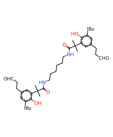 CC(C)(C)c1cc(CCC=O)cc(C(C)(C)C(=O)NCCCCCCNC(=O)C(C)(C)c2cc(CCC=O)cc(C(C)(C)C)c2O)c1O